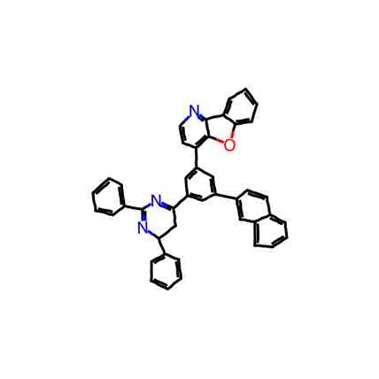 c1ccc(C2=NC(c3ccccc3)CC(c3cc(-c4ccc5ccccc5c4)cc(-c4ccnc5c4oc4ccccc45)c3)=N2)cc1